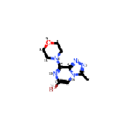 Cc1nnc2c(N3CCOCC3)nc(Br)cn12